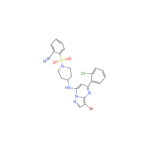 N#Cc1ccccc1S(=O)(=O)N1CCC(Nc2cc(-c3ccccc3Cl)nc3c(Br)cnn23)CC1